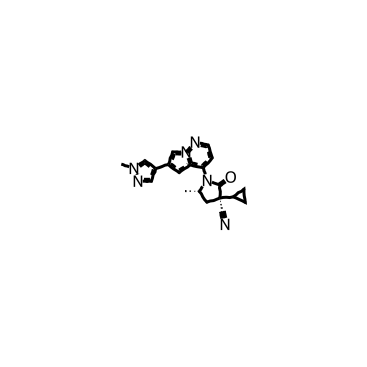 C[C@H]1C[C@](C#N)(C2CC2)C(=O)N1c1ccnn2cc(-c3cnn(C)c3)cc12